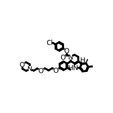 CC1=CC=C2NC3=C(CCN(C(=O)Oc4ccc(Cl)cc4)C3c3ccc(OCCCOCCN4CCOCC4)cc3C)[C@H]2[C@H]1C